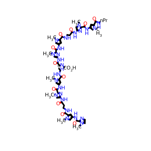 CCCNC(=O)c1cc(NC(=O)c2nc(NC(=O)CCNC(=O)c3cc(NC(=O)c4nc(NC(=O)[C@@H](CCNC(=O)c5cc(NC(=O)c6nc(NC(=O)CCNC(=O)c7cc(NC(=O)c8nccn8C)cn7C)cn6C)cn5C)NC(=O)O)cn4C)cn3C)cn2C)cn1C